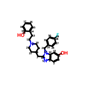 Oc1ccc2nc(CC3CCN(CCc4ccccc4O)CC3)n(Cc3ccc(F)cc3)c2c1